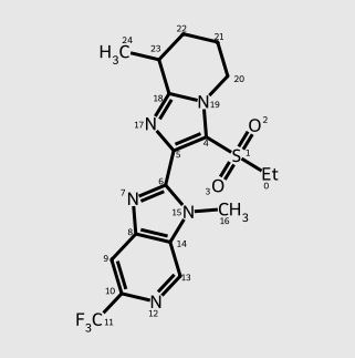 CCS(=O)(=O)c1c(-c2nc3cc(C(F)(F)F)ncc3n2C)nc2n1CCCC2C